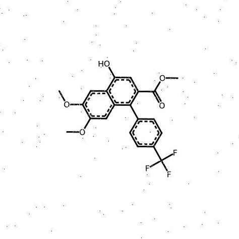 COC(=O)c1cc(O)c2cc(OC)c(OC)cc2c1-c1ccc(C(F)(F)F)cc1